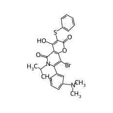 CC(C)n1c(-c2cccc(N(C)C)c2)c(Br)c2oc(=O)c(Sc3ccccc3)c(O)c2c1=O